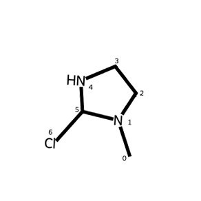 CN1[CH]CNC1Cl